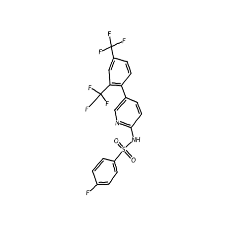 O=S(=O)(Nc1ccc(-c2ccc(C(F)(F)F)cc2C(F)(F)F)cn1)c1ccc(F)cc1